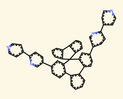 c1ccc2c(c1)-c1ccc(-c3ccc(-c4ccncc4)nc3)cc1C1(c3cc(-c4ccc(-c5ccncc5)nc4)ccc3-2)c2ccccc2-c2ccccc21